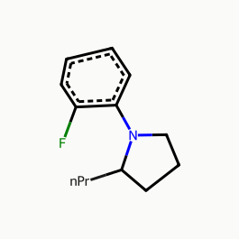 CCCC1CCCN1c1ccccc1F